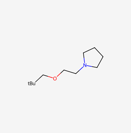 CC(C)(C)COCCN1CCCC1